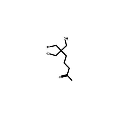 CC(=O)CCCC(CO)(CO)CO